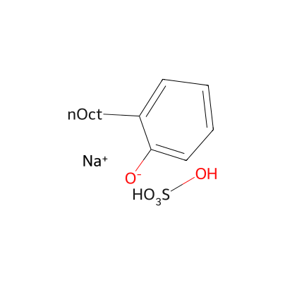 CCCCCCCCc1ccccc1[O-].O=S(=O)(O)O.[Na+]